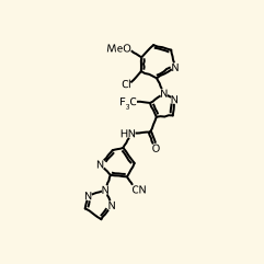 COc1ccnc(-n2ncc(C(=O)Nc3cnc(-n4nccn4)c(C#N)c3)c2C(F)(F)F)c1Cl